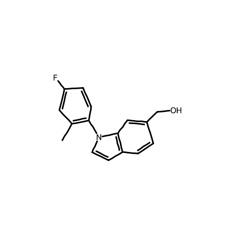 Cc1cc(F)ccc1-n1ccc2ccc(CO)cc21